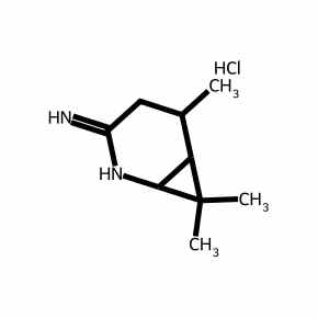 CC1CC(=N)NC2C1C2(C)C.Cl